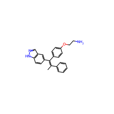 C/C(=C(/c1ccc(OCCN)cc1)c1ccc2[nH]ncc2c1)c1ccccc1